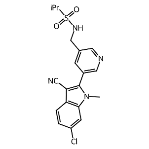 CC(C)S(=O)(=O)NCc1cncc(-c2c(C#N)c3ccc(Cl)cc3n2C)c1